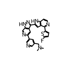 CN(C)Cc1cncc(-c2cc3c(-c4cc5c(-c6ccc(F)s6)nccc5[nH]4)n[nH]c3cn2)c1